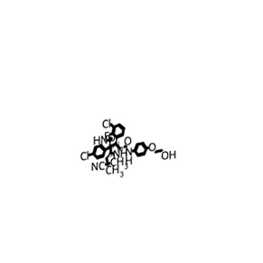 CC(C)(C#N)C[C@@H]1N[C@@H](C(=O)Nc2ccc(OCCO)cc2)[C@H](c2cccc(Cl)c2F)[C@]12C(=O)Nc1cc(Cl)ccc12